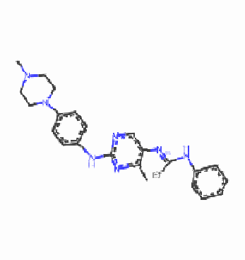 CC/C(=N\c1cnc(Nc2ccc(N3CCN(C)CC3)cc2)nc1C)Nc1ccccc1